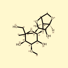 CO[C@H]1OC2CO[C@@H](C1O)[C@H]2O[C@@H]1OC(C)(CO)[C@H](O)[C@H](OC)C1O